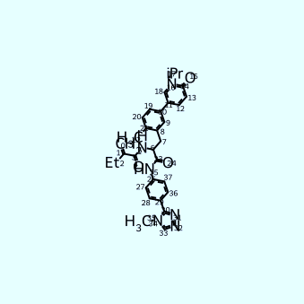 C=C(CC)C(=O)NC(Cc1cc(-c2ccc(=O)n(C(C)C)c2)ccc1C)C(=O)Nc1ccc(-c2nncn2C)cc1